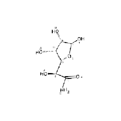 NC(=O)[C@@H](O)[C@H]1OC(O)[C@@H](O)[C@H]1O